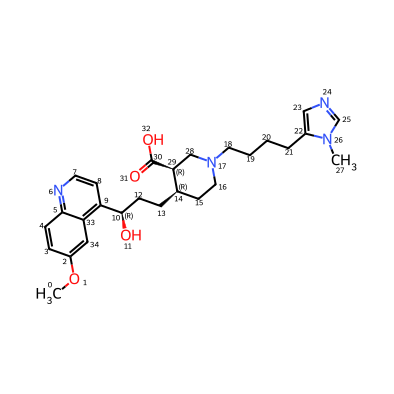 COc1ccc2nccc([C@H](O)CC[C@@H]3CCN(CCCCc4cncn4C)C[C@@H]3C(=O)O)c2c1